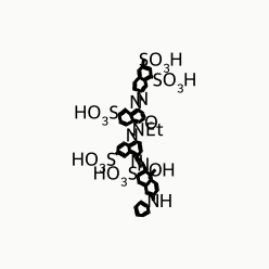 CCOc1cc(N=Nc2ccc3cc(S(=O)(=O)O)cc(S(=O)(=O)O)c3c2)c2cc(S(=O)(=O)O)ccc2c1N=Nc1ccc(N=Nc2c(S(=O)(=O)O)cc3cc(Nc4ccccc4)ccc3c2O)c2cc(S(=O)(=O)O)ccc12